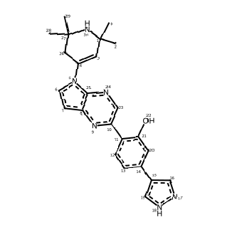 CC1(C)C=C(n2ccc3nc(-c4ccc(-c5cn[nH]c5)cc4O)cnc32)CC(C)(C)N1